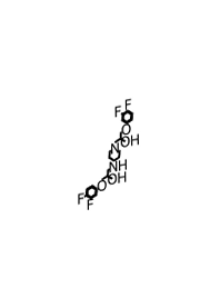 OC(CNC1CCN(CC(O)COc2ccc(F)c(F)c2)CC1)COc1ccc(F)c(F)c1